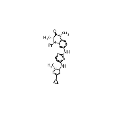 CC(C)N1c2cc(Nc3nccc(Nc4cc(C5CC5)nn4C)n3)ccc2N(C)C(=O)[C@H]1C